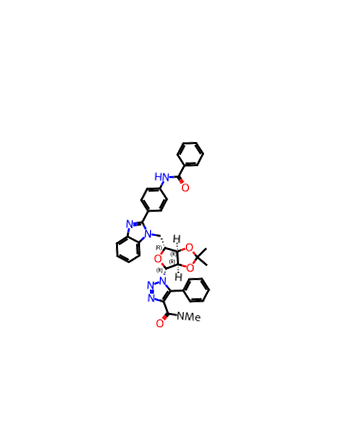 CNC(=O)c1nnn([C@@H]2O[C@H](Cn3c(-c4ccc(NC(=O)c5ccccc5)cc4)nc4ccccc43)[C@H]3OC(C)(C)O[C@H]32)c1-c1ccccc1